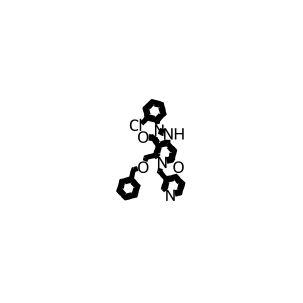 O=c1c2c(COCc3ccccc3)n(Cc3cccnc3)c(=O)cc2[nH]n1-c1ccccc1Cl